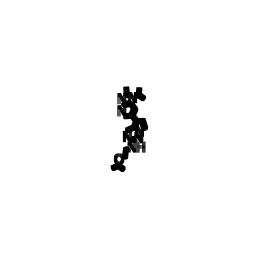 Cc1nc2ncc(-c3ccn4nc(NCCOC(C)C)ncc34)cc2n1C(C)C